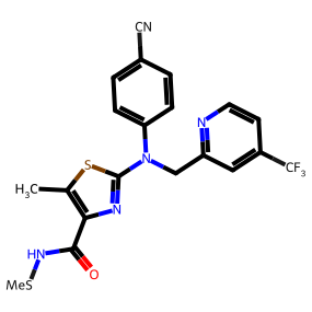 CSNC(=O)c1nc(N(Cc2cc(C(F)(F)F)ccn2)c2ccc(C#N)cc2)sc1C